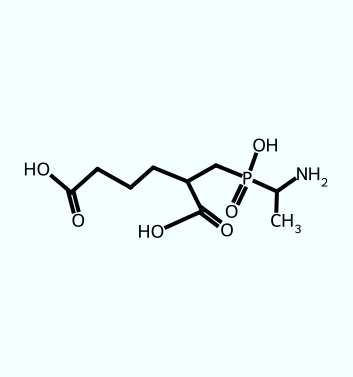 CC(N)P(=O)(O)CC(CCCC(=O)O)C(=O)O